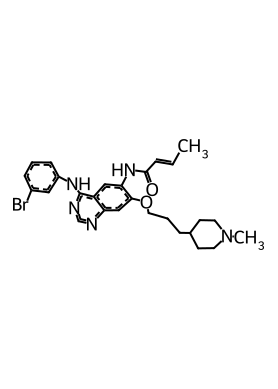 CC=CC(=O)Nc1cc2c(Nc3cccc(Br)c3)ncnc2cc1OCCCC1CCN(C)CC1